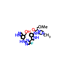 COC[C@H](C(=O)Nc1cccc2c(-c3nc(Nc4cc(CO)c5cn[nH]c5c4)ncc3F)c[nH]c12)N1CCN(C)CC1